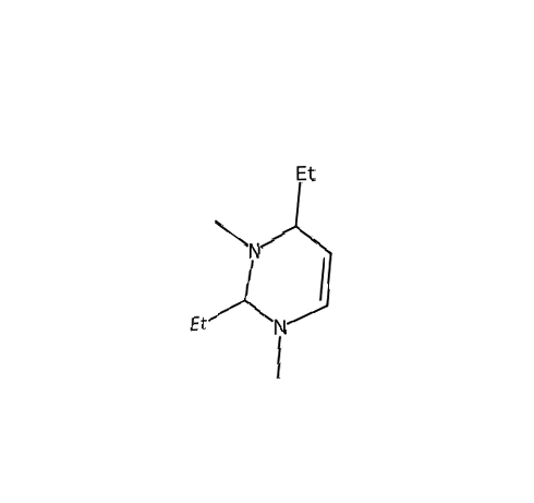 CCC1C=CN(C)C(CC)N1C